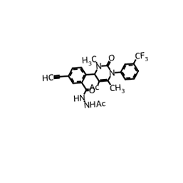 C#Cc1ccc(C2C(C(C)=O)=C(C)N(c3cccc(C(F)(F)F)c3)C(=O)N2C)c(C(=O)NNC(C)=O)c1